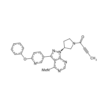 CC#CC(=O)N1CC[C@H](n2nc(-c3ccc(Oc4ccccc4)nc3)c3c(NC)ncnc32)C1